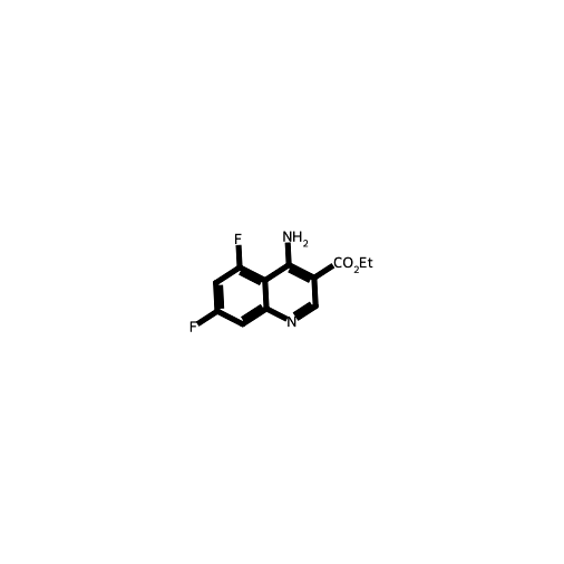 CCOC(=O)c1cnc2cc(F)cc(F)c2c1N